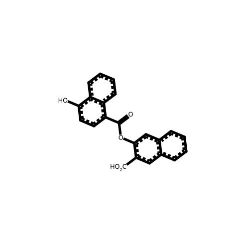 O=C(O)c1cc2ccccc2cc1OC(=O)c1ccc(O)c2ccccc12